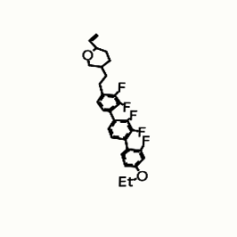 C=CC1CCC(CCc2ccc(-c3ccc(-c4ccc(OCC)cc4F)c(F)c3F)c(F)c2F)CO1